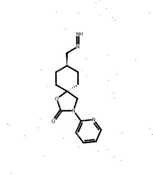 N=NC[C@H]1CC[C@]2(CC1)CN(c1ccccn1)C(=O)O2